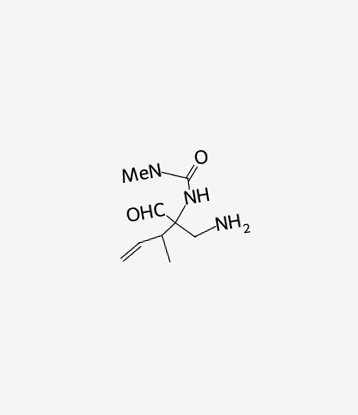 C=CC(C)C(C=O)(CN)NC(=O)NC